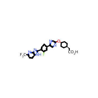 O=C(O)C[C@H]1CC[C@@H](Oc2cnc(-c3ccc(-c4nc5nc(C(F)(F)F)ccc5[nH]4)c(F)c3)cn2)CC1